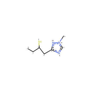 [CH2]CC(S)Cc1ncn(C)n1